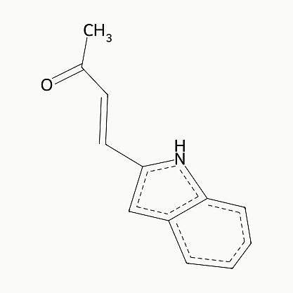 CC(=O)/C=C/c1cc2ccccc2[nH]1